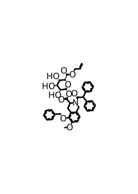 C=CCOC(=O)[C@H]1O[C@@H](OC(=O)C2Cc3c(ccc(OC)c3OCc3ccccc3)CN2C(=O)C(c2ccccc2)c2ccccc2)[C@H](O)[C@@H](O)[C@@H]1O